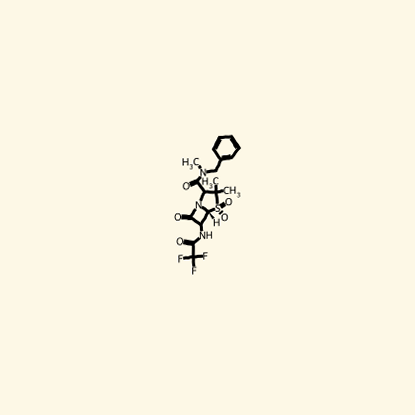 CN(Cc1ccccc1)C(=O)C1N2C(=O)C(NC(=O)C(F)(F)F)[C@H]2S(=O)(=O)C1(C)C